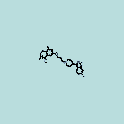 Cc1cc(OCCCN2CCC(c3noc4cc(F)ccc34)CC2)cc2c1CCN(C)C2=O